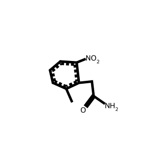 Cc1cccc([N+](=O)[O-])c1CC(N)=O